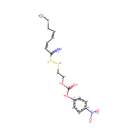 CCC/C=C\C=C/C(=N)SSCCOC(=O)Oc1ccc([N+](=O)[O-])cc1